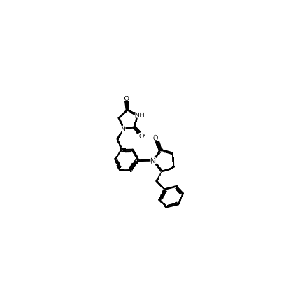 O=C1CN(Cc2cccc(N3C(=O)CC[C@H]3Cc3ccccc3)c2)C(=O)N1